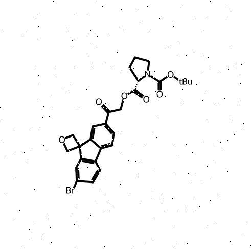 CC(C)(C)OC(=O)N1CCC[C@H]1C(=O)OCC(=O)c1ccc2c(c1)C1(COC1)c1cc(Br)ccc1-2